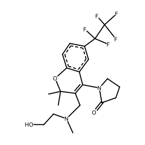 CN(CCO)CC1=C(N2CCCC2=O)c2cc(C(F)(F)C(F)(F)F)ccc2OC1(C)C